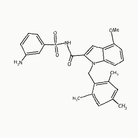 COc1cccc2c1cc(C(=O)NS(=O)(=O)c1cccc(N)c1)n2Cc1c(C)cc(C)cc1C